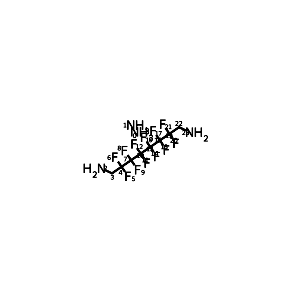 N.N.NCC(F)(F)C(F)(F)C(F)(F)C(F)(F)C(F)(F)C(F)(F)CN